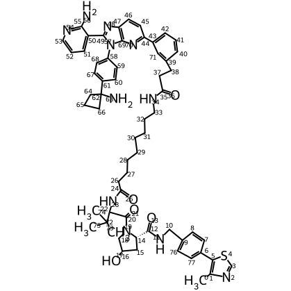 Cc1ncsc1-c1ccc(CNC(=O)[C@@H]2C[C@@H](O)CN2C(=O)C(NC(=O)CCCCCCCCNC(=O)CCc2cccc(-c3ccc4nc(-c5cccnc5N)n(-c5ccc(C6(N)CCC6)cc5)c4n3)c2)C(C)(C)C)cc1